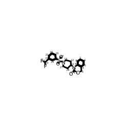 O=C1OCc2ccccc2N1C1CCN(S(=O)(=O)c2cccc(C(F)F)c2)CC1